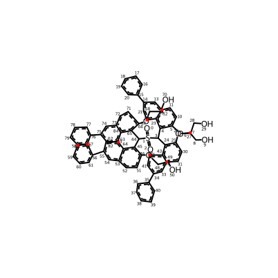 O=S(=O)(C(c1c(OCCO)ccc2cc(-c3ccccc3)ccc12)c1c(OCCO)ccc2cc(-c3ccccc3)ccc12)C(c1c(OCCO)ccc2cc(-c3ccccc3)ccc12)c1c(OCCO)ccc2cc(-c3ccccc3)ccc12